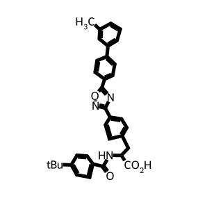 Cc1cccc(-c2ccc(-c3nc(-c4ccc(CC(NC(=O)c5ccc(C(C)(C)C)cc5)C(=O)O)cc4)no3)cc2)c1